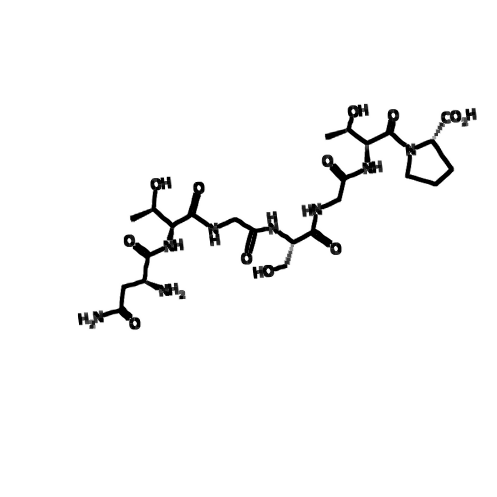 C[C@@H](O)[C@H](NC(=O)[C@@H](N)CC(N)=O)C(=O)NCC(=O)N[C@@H](CO)C(=O)NCC(=O)N[C@H](C(=O)N1CCC[C@H]1C(=O)O)[C@@H](C)O